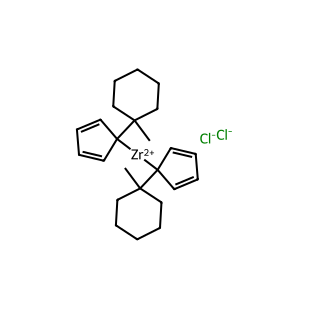 CC1([C]2([Zr+2][C]3(C4(C)CCCCC4)C=CC=C3)C=CC=C2)CCCCC1.[Cl-].[Cl-]